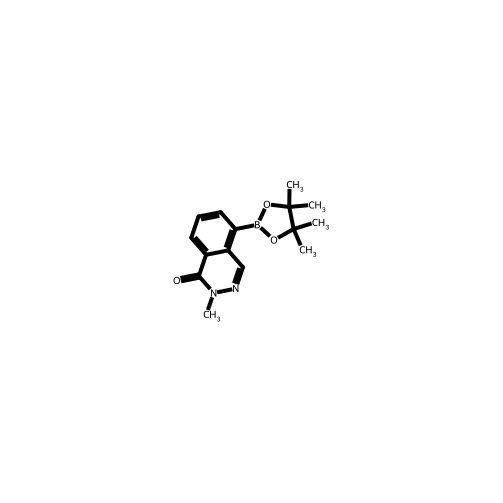 Cn1ncc2c(B3OC(C)(C)C(C)(C)O3)cccc2c1=O